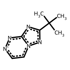 CC(C)(C)c1nc2nnccn2n1